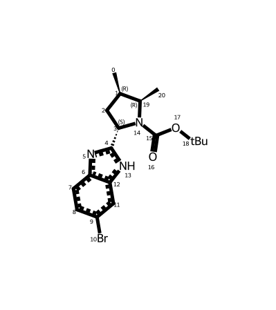 C[C@@H]1C[C@@H](c2nc3ccc(Br)cc3[nH]2)N(C(=O)OC(C)(C)C)[C@@H]1C